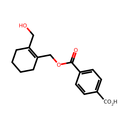 O=C(O)c1ccc(C(=O)OCC2=C(CO)CCCC2)cc1